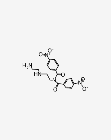 NCCNCCN(C(=O)c1ccc([N+](=O)[O-])cc1)C(=O)c1ccc([N+](=O)[O-])cc1